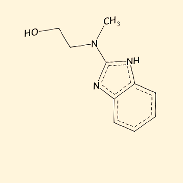 CN(CCO)c1nc2ccccc2[nH]1